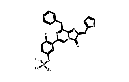 CC(C)(C)[Si](C)(C)Oc1ccc(F)c(C2=CN3C(=O)/C(=C/c4ccco4)N=C3C(Cc3ccccc3)=N2)c1